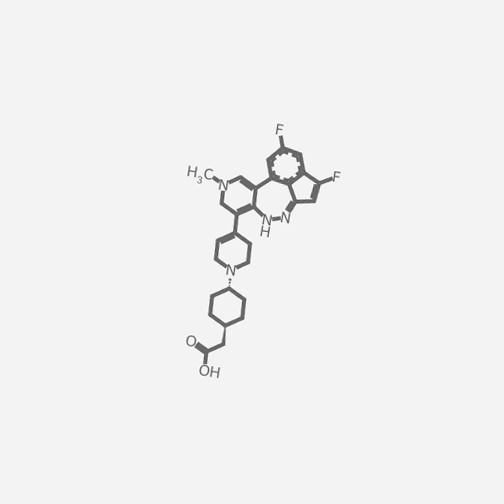 CN1C=C2C(=C(C3=CCN([C@H]4CC[C@H](CC(=O)O)CC4)CC3)C1)NN=C1C=C(F)c3cc(F)cc2c31